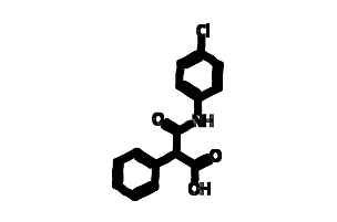 O=C(O)C(C(=O)Nc1ccc(Cl)cc1)c1ccccc1